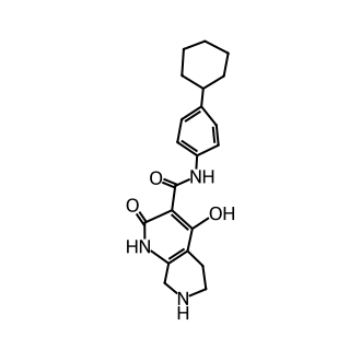 O=C(Nc1ccc(C2CCCCC2)cc1)c1c(O)c2c([nH]c1=O)CNCC2